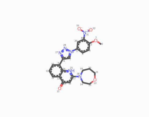 COc1ccc(-n2cc(-c3cccc4c(=O)cc(N5CCCOCC5)[nH]c34)nn2)cc1[N+](=O)[O-]